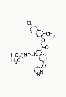 Cc1cc2cc(Cl)ccc2cc1OCC(=O)c1cn(CCN2CC(C)(O)C2)c2c1CCC(Oc1cccnn1)=C2